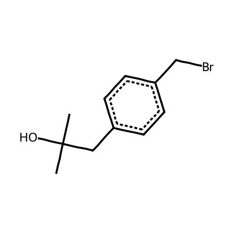 CC(C)(O)Cc1ccc(CBr)cc1